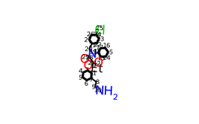 CCC1(Oc2cccc(CCN)c2)Oc2ccccc2N(Cc2ccc(Cl)cc2)C1=O